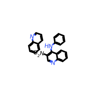 O=[N+]([O-])c1cnc2ccccc2c1Nc1ccccc1.c1ccc2ncccc2c1